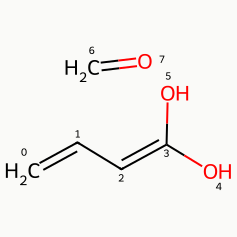 C=CC=C(O)O.C=O